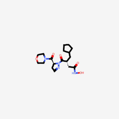 O=C(C[C@@H](CC1CCCC1)C(=O)N1N=CC[C@H]1C(=O)N1CCOCC1)NO